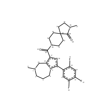 CN1CCCn2c(-c3cc(F)c(F)cc3F)nc(C(=O)N3CCC4(CCN(C)C4=O)CC3)c2C1